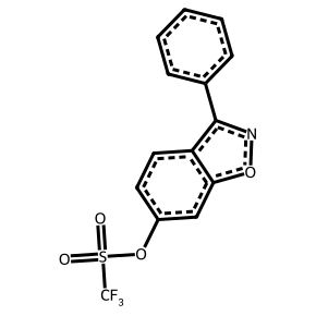 O=S(=O)(Oc1ccc2c(-c3ccccc3)noc2c1)C(F)(F)F